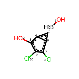 BO.Oc1c2cc-2c(Cl)c1Cl